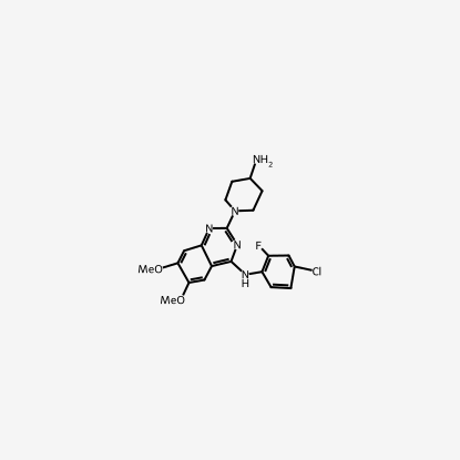 COc1cc2nc(N3CCC(N)CC3)nc(Nc3ccc(Cl)cc3F)c2cc1OC